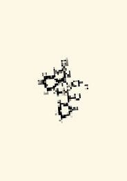 CN(NC(=O)c1ccccc1)c1nc(Cl)nc2ccccc12